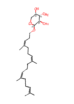 CC(C)=CCCC(C)=CCCC(C)=CCCC(C)=CCCO[C@H]1OC[C@@H](O)[C@H](O)[C@H]1O